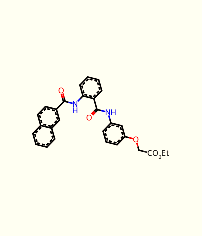 CCOC(=O)COc1cccc(NC(=O)c2ccccc2NC(=O)c2ccc3ccccc3c2)c1